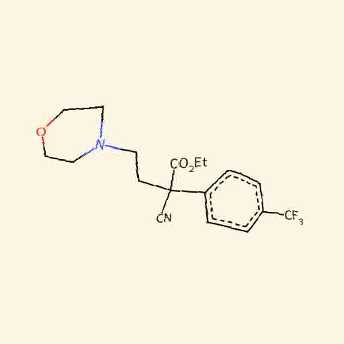 CCOC(=O)C(C#N)(CCN1CCOCC1)c1ccc(C(F)(F)F)cc1